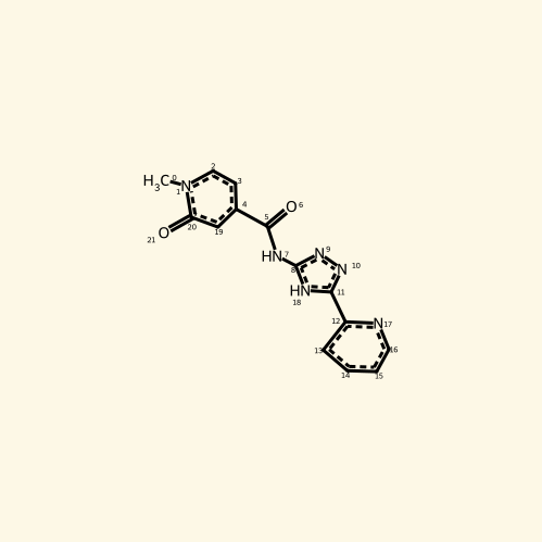 Cn1ccc(C(=O)Nc2nnc(-c3ccccn3)[nH]2)cc1=O